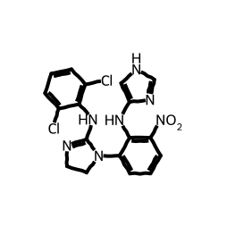 O=[N+]([O-])c1cccc(N2CCN=C2Nc2c(Cl)cccc2Cl)c1Nc1c[nH]cn1